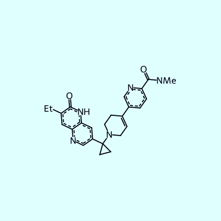 CCc1cc2ncc(C3(N4CC=C(c5ccc(C(=O)NC)nc5)CC4)CC3)cc2[nH]c1=O